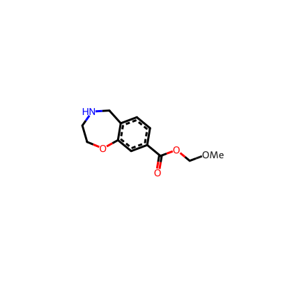 COCOC(=O)c1ccc2c(c1)OCCNC2